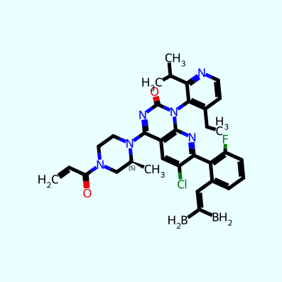 BC(B)=Cc1cccc(F)c1-c1nc2c(cc1Cl)c(N1CCN(C(=O)C=C)C[C@@H]1C)nc(=O)n2-c1c(CC)ccnc1C(C)C